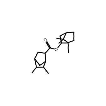 CC1C2CC(C(=O)OC3CC4CCC3(C)C4(C)C)C(C2)C1C